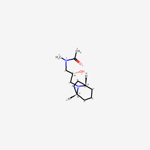 CC(=O)N(C)C[C@H](O)CN1[C@@H]2C[CH]C[C@H]1CC2